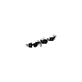 COC(=O)C(Cc1ccc(OCc2ccc(C(F)(F)F)cc2)cc1)NC(=O)c1cc2cc(-c3ccc(Cl)cc3)ccc2o1